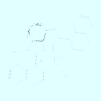 CC1=C(c2cccc3ccccc23)[CH]([Zr]([CH3])([CH3])(=[SiH2])[CH]2C(c3cccc4ccccc34)=C(C)c3ccccc32)c2ccccc21.Cl.Cl